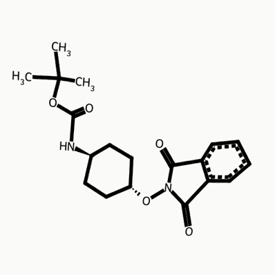 CC(C)(C)OC(=O)N[C@H]1CC[C@H](ON2C(=O)c3ccccc3C2=O)CC1